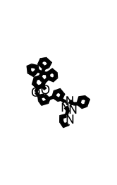 c1ccc(-c2nc(-c3cccc(-c4cccc5c4Oc4c(ccc6c4-c4ccccc4C6(c4ccccc4)c4ccccc4)O5)c3)nc(-c3ccccn3)n2)cc1